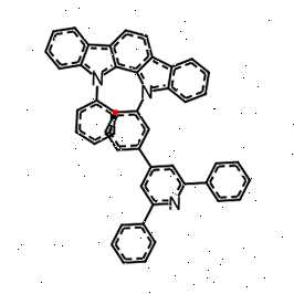 c1ccc(-c2cc(-c3cccc(-n4c5ccccc5c5ccc6c7ccccc7n(-c7ccccc7)c6c54)c3)cc(-c3ccccc3)n2)cc1